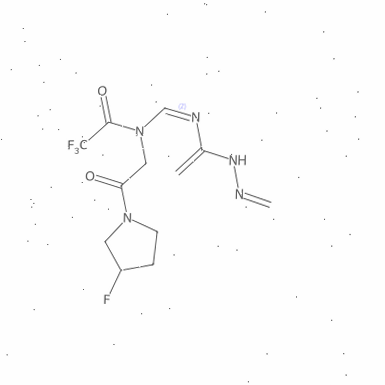 C=NNC(=C)/N=C\N(CC(=O)N1CCC(F)C1)C(=O)C(F)(F)F